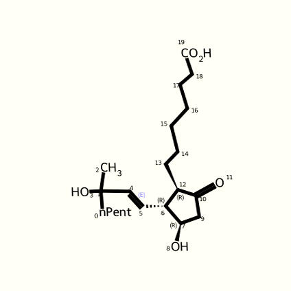 CCCCCC(C)(O)/C=C/[C@H]1[C@H](O)CC(=O)[C@@H]1CCCCCCC(=O)O